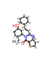 Cc1ccccc1-n1c(/C=C/c2ccccc2O)nc2ccsc2c1=O